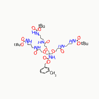 Cc1cccc(COC(=O)NC(COCCC(=O)NCCCNC(=O)OC(C)(C)C)(COCCC(=O)NCCCNC(=O)OC(C)(C)C)COCCC(=O)NCCCNC(=O)OC(C)(C)C)c1